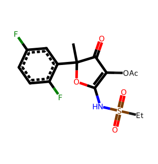 CCS(=O)(=O)NC1=C(OC(C)=O)C(=O)C(C)(c2cc(F)ccc2F)O1